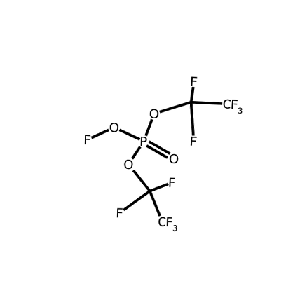 O=P(OF)(OC(F)(F)C(F)(F)F)OC(F)(F)C(F)(F)F